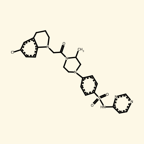 CC1CN(c2ccc(S(=O)(=O)Nc3ccncn3)cc2)CCN1C(=O)CN1CCCc2cc(Cl)ccc21